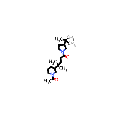 CC(=O)N1CCCC(C(C)(C)CCC(=O)N2CCC(C(C)(C)C)C2)C1